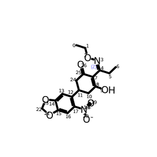 CCO/N=C(/CC)C1=C(O)CC(c2cc3c(cc2[N+](=O)[O-])OCO3)CC1=O